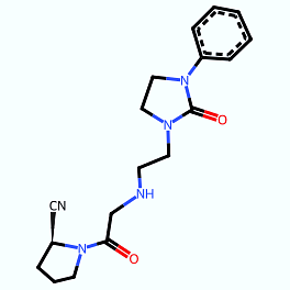 N#C[C@@H]1CCCN1C(=O)CNCCN1CCN(c2ccccc2)C1=O